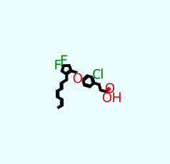 C\C=C/C=C\C=C\CC1=C(COc2ccc(CCC(=O)O)c(Cl)c2)CC(F)(F)C1